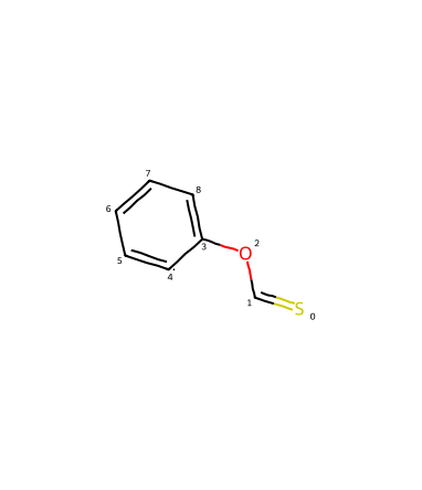 S=COc1[c]cccc1